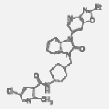 CCc1nc2ncc(-n3c(=O)n(CC4CCC(NC(=O)c5cc(Cl)cnc5C)CC4)c4ccccc43)cc2o1